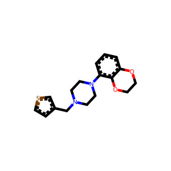 c1cc2c(c(N3CCN(Cc4ccsc4)CC3)c1)OCCO2